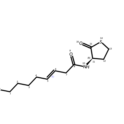 CCCCC/C=C/CC(=O)N[C@@H]1CCSC1=O